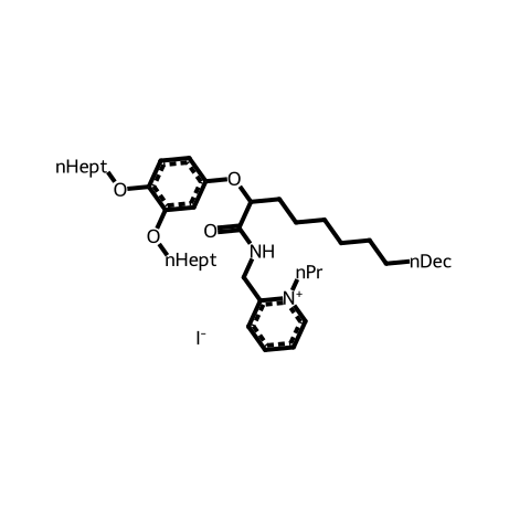 CCCCCCCCCCCCCCCCC(Oc1ccc(OCCCCCCC)c(OCCCCCCC)c1)C(=O)NCc1cccc[n+]1CCC.[I-]